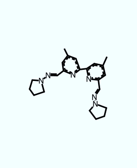 Cc1cc(C=NN2CCCC2)nc(-c2cc(C)cc(C=NN3CCCC3)n2)c1